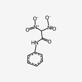 O=C(Nc1ccccc1)C([N+](=O)[O-])[N+](=O)[O-]